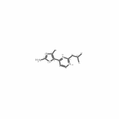 Cc1nc(N)sc1-c1ccnc(CC(C)C)n1